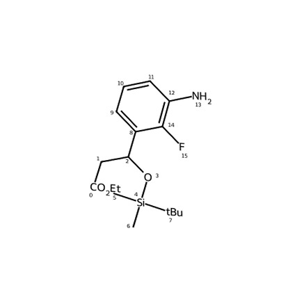 CCOC(=O)CC(O[Si](C)(C)C(C)(C)C)c1cccc(N)c1F